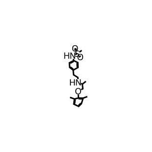 Cc1cccc(C)c1OCC(C)NCCc1ccc(NS(C)(=O)=O)cc1